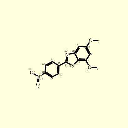 COc1cc(OC)c2sc(-c3ccc([N+](=O)[O-])cc3)nc2c1